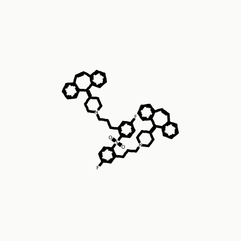 O=S(=O)(c1ccc(F)cc1CCCN1CCC(=C2c3ccccc3C=Cc3ccccc32)CC1)c1ccc(F)cc1CCCN1CCC(=C2c3ccccc3C=Cc3ccccc32)CC1